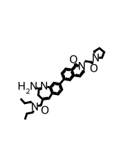 CCCN(CCC)C(=O)C1=Cc2ccc(-c3ccc4c(=O)n(CC(=O)N5CCCC5)ccc4c3)cc2N=C(N)C1